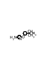 CC(C)(C)C1=CC(Oc2ccc(N)cn2)=CCC1